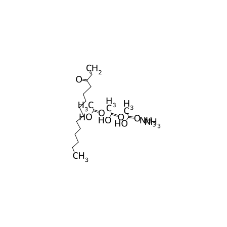 C=CC(=O)CCCCCCCCCCC.CC(=O)O.CC(=O)O.CC(=O)O.N.N